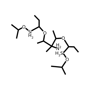 CCC(OC(C)C(C)(N)C(C)OC(CC)[SiH2]OC(C)C)[SiH2]OC(C)C